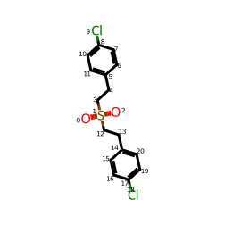 O=S(=O)(CCc1ccc(Cl)cc1)CCc1ccc(Cl)cc1